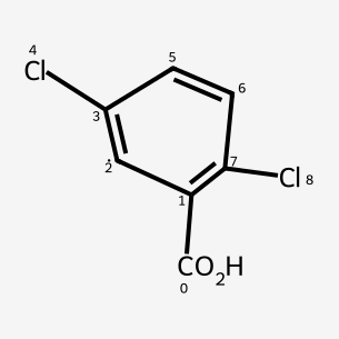 O=C(O)c1[c]c(Cl)ccc1Cl